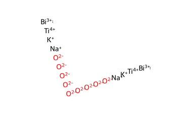 [Bi+3].[Bi+3].[K+].[K+].[Na+].[Na+].[O-2].[O-2].[O-2].[O-2].[O-2].[O-2].[O-2].[O-2].[O-2].[Ti+4].[Ti+4]